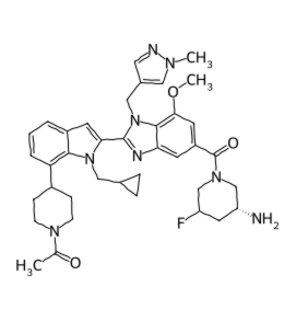 COc1cc(C(=O)N2CC(F)C[C@@H](N)C2)cc2nc(-c3cc4cccc(C5CCN(C(C)=O)CC5)c4n3CC3CC3)n(Cc3cnn(C)c3)c12